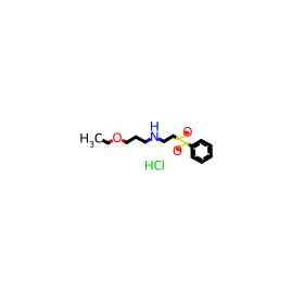 CCOCCCNCCS(=O)(=O)c1ccccc1.Cl